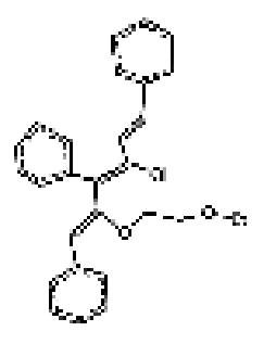 CCOCCOC(=Cc1ccccc1)C(=C(O)C=Cc1ccccc1)c1ccccc1